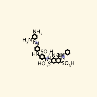 Nc1ccc(/N=N/c2ccc(Nc3ccc(/N=N/c4c(S(=O)(=O)O)cc5cc(S(=O)(=O)O)c(/N=N/c6ccccc6)c(O)c5c4N)cc3S(=O)(=O)O)cc2)c(N)c1